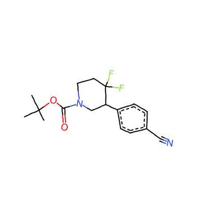 CC(C)(C)OC(=O)N1CCC(F)(F)C(c2ccc(C#N)cc2)C1